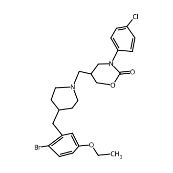 CCOc1ccc(Br)c(CC2CCN(CC3COC(=O)N(c4ccc(Cl)cc4)C3)CC2)c1